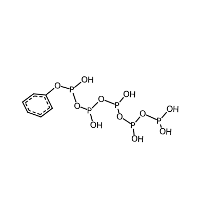 OP(O)OP(O)OP(O)OP(O)OP(O)Oc1ccccc1